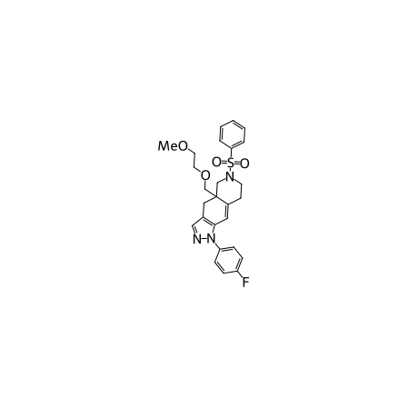 COCCOCC12Cc3cnn(-c4ccc(F)cc4)c3C=C1CCN(S(=O)(=O)c1ccccc1)C2